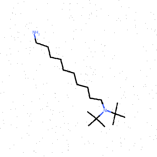 CC(C)(C)N(CCCCCCCCCCN)C(C)(C)C